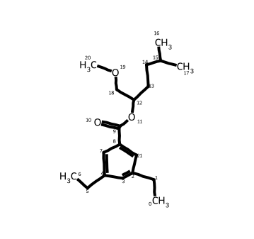 CCc1cc(CC)cc(C(=O)OC(CCC(C)C)COC)c1